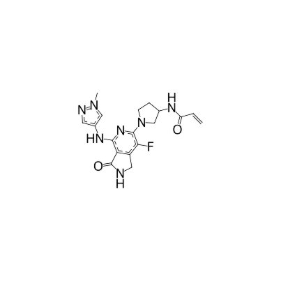 C=CC(=O)NC1CCN(c2nc(Nc3cnn(C)c3)c3c(c2F)CNC3=O)C1